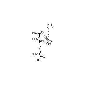 C[C@H](N)C(=O)O.NCCCC[C@H](N)C(=O)O.NCCCC[C@H](N)C(=O)O